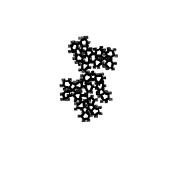 c1cc(-c2cccc3c2oc2ccccc23)cc(N(c2ccc3c(c2)C2(c4ccccc4-c4ccccc42)c2ccccc2-3)c2ccc3c(c2)C2(c4ccccc4-c4cc(-c5cc(-c6cccc(N(c7ccc8c(c7)C7(c9ccccc9-c9ccccc97)c7ccccc7-8)c7ccc8c(c7)C7(c9ccccc9-c9ccccc97)c7ccccc7-8)c6)c6sc7ccccc7c6c5)ccc42)c2ccccc2-3)c1